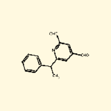 CC(c1ccccc1)c1cc(C=O)cc(C=O)n1